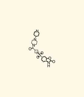 O=C(C1CN(S(=O)(=O)c2ccc3[nH]c(=O)oc3c2)C1)N1CCN(c2ccncc2)CC1